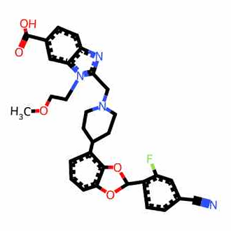 COCCn1c(CN2CCC(c3cccc4c3OC(c3ccc(C#N)cc3F)O4)CC2)nc2ccc(C(=O)O)cc21